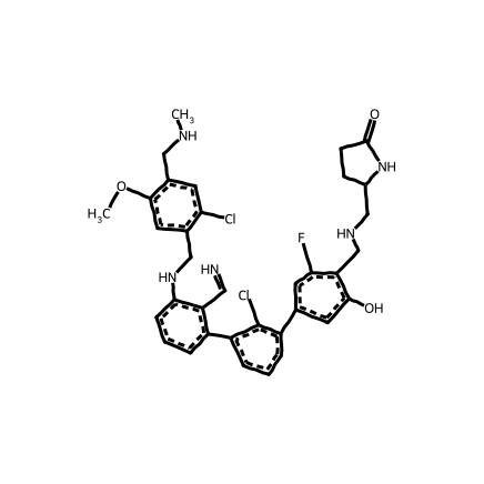 CNCc1cc(Cl)c(CNc2cccc(-c3cccc(-c4cc(O)c(CNCC5CCC(=O)N5)c(F)c4)c3Cl)c2C=N)cc1OC